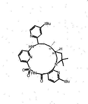 C[C@H]1CC(c2cc(C(C)(C)C)ccn2)Nc2cccc(n2)S(=O)(=O)NC(=O)c2ccc(C(C)(C)C)nc2N2C[C@@H]1CC2(C)C